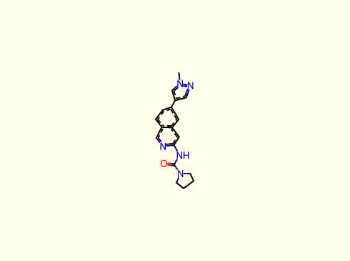 Cn1cc(-c2ccc3cnc(NC(=O)N4CCCC4)cc3c2)cn1